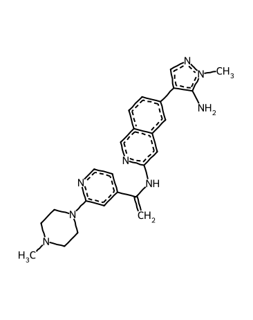 C=C(Nc1cc2cc(-c3cnn(C)c3N)ccc2cn1)c1ccnc(N2CCN(C)CC2)c1